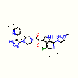 C=N/C=C\N(N)c1ncc(F)c2c(C(=O)C(=O)N3CCN(c4nn[nH]c4-c4ccccn4)CC3)c[nH]c12